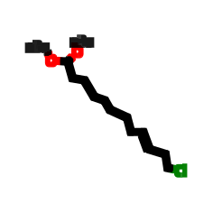 CCCCOC(CCCCCCC/C=C/CCCl)OCCCC